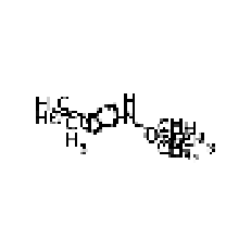 CC(C)(O)Cn1ccc2cc(NCCO[Si](C)(C)C(C)(C)C)ccc21